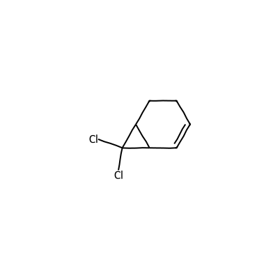 ClC1(Cl)C2C=CCCC21